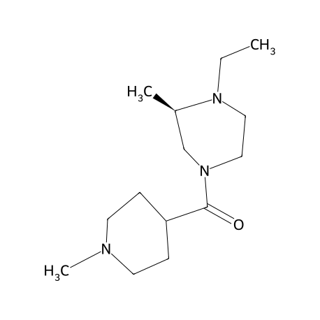 CCN1CCN(C(=O)C2CCN(C)CC2)C[C@H]1C